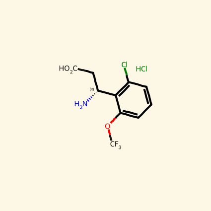 Cl.N[C@H](CC(=O)O)c1c(Cl)cccc1OC(F)(F)F